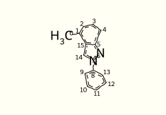 Cc1cccc2nn(-c3ccccc3)cc12